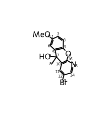 COc1ccc2c(c1)C(C)(O)c1cc(Br)cnc1O2